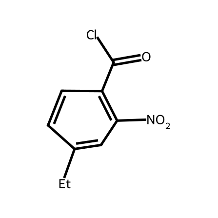 CCc1ccc(C(=O)Cl)c([N+](=O)[O-])c1